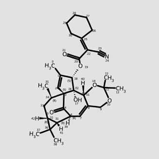 CC1=C[C@]23C(=O)[C@@H](C=C4COC(C)(C)O[C@H]4[C@]2(O)[C@H]1OC(=O)C(C#N)=C1CCCCC1)[C@H]1[C@@H](C[C@H]3C)C1(C)C